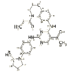 C=CC(=O)N1CCOc2ccc(Nc3nc(Nc4ccc(N5CCCC5O)cc4)ncc3C(C)=O)cc21